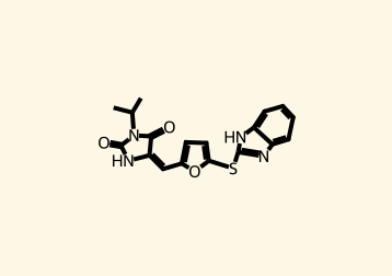 CC(C)N1C(=O)NC(=Cc2ccc(Sc3nc4ccccc4[nH]3)o2)C1=O